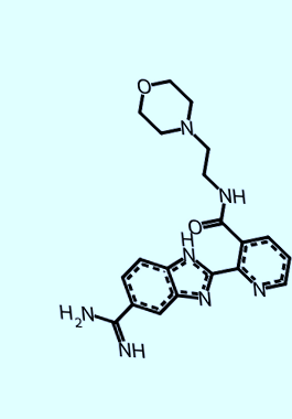 N=C(N)c1ccc2[nH]c(-c3ncccc3C(=O)NCCN3CCOCC3)nc2c1